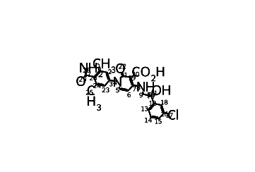 Cc1cc(-n2ccc(NC[C@H](O)c3cccc(Cl)c3)c(C(=O)O)c2=O)cc(C)c1C(N)=O